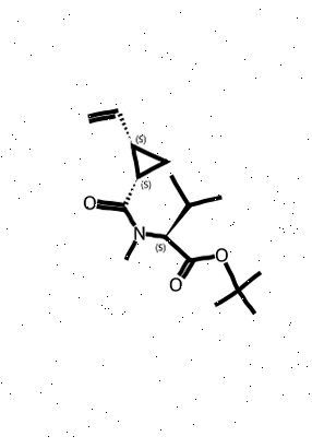 C=C[C@@H]1C[C@@H]1C(=O)N(C)[C@H](C(=O)OC(C)(C)C)C(C)C